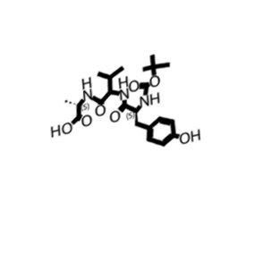 CC(C)C(NC(=O)[C@H](Cc1ccc(O)cc1)NC(=O)OC(C)(C)C)C(=O)N[C@@H](C)C(=O)O